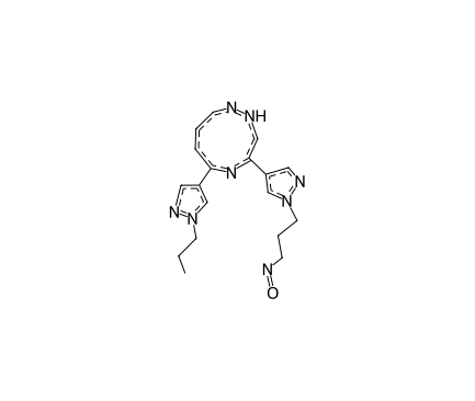 CCCn1cc(-c2cccn[nH]cc(-c3cnn(CCCN=O)c3)n2)cn1